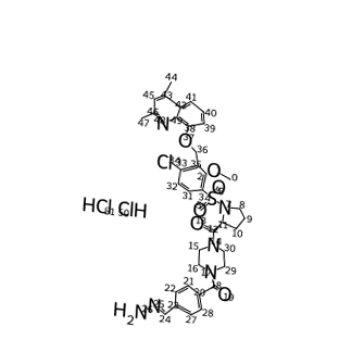 COc1c(S(=O)(=O)N2CCC[C@H]2C(=O)N2CCN(C(=O)c3ccc(C=NN)cc3)CC2)ccc(Cl)c1COc1cccc2c(C)cc(C)nc12.Cl.Cl